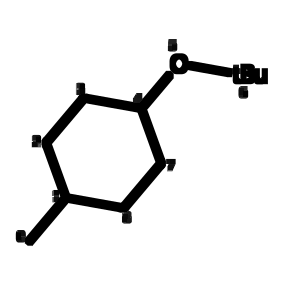 CC1CCC(OC(C)(C)C)CC1